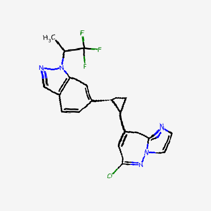 CC(n1ncc2ccc([C@H]3CC3c3cc(Cl)nn4ccnc34)cc21)C(F)(F)F